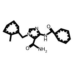 Cc1ccccc1Cn1cnc(NC(=O)c2ccccc2)c1C(N)=O